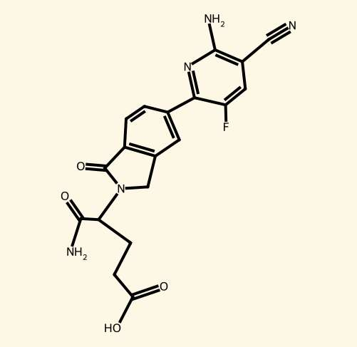 N#Cc1cc(F)c(-c2ccc3c(c2)CN(C(CCC(=O)O)C(N)=O)C3=O)nc1N